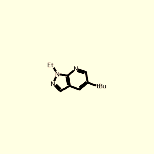 CCn1ncc2cc(C(C)(C)C)cnc21